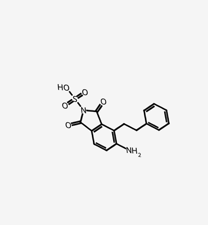 Nc1ccc2c(c1CCc1ccccc1)C(=O)N(S(=O)(=O)O)C2=O